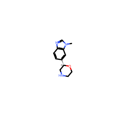 Cn1cnc2ccc([C@H]3CNCCO3)cc21